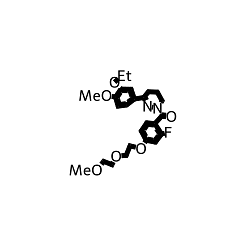 CCOc1cc(C2=NN(C(=O)c3ccc(OCCOCCOC)cc3F)CCC2)ccc1OC